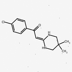 CC1(C)CNC(=CC(=O)c2ccc(Cl)cc2)NC1